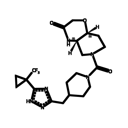 O=C1CO[C@H]2CCN(C(=O)N3CCC(Cc4n[nH]c(C5(C(F)(F)F)CC5)n4)CC3)C[C@H]2N1